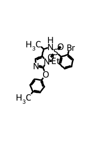 CCn1c(C(C)NS(=O)(=O)c2ccccc2Br)cnc1Oc1ccc(C)cc1